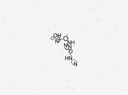 Cc1cc(Nc2nccc(OCCNC3CCN(C)CC3)n2)cc(-c2cnc(C3(O)CCC3)s2)c1